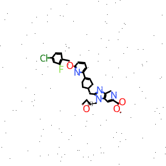 COC(=O)c1cc2c(cn1)nc(CC1CC=C(c3cccc(OCc4ccc(Cl)cc4F)n3)CC1)n2C[C@@H]1CCO1